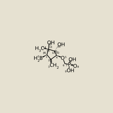 B[C@@H]1C(=C)[C@H](OCP(=O)(O)O)[C@@H](O)[C@@]1(C)O